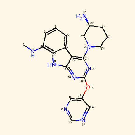 CNc1cccc2c1[nH]c1nc(Oc3cncnc3)nc(N3CCC[C@H](N)C3)c12